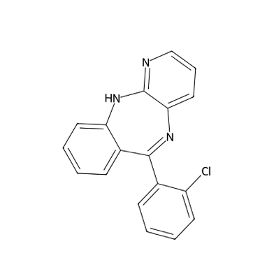 Clc1ccccc1C1=Nc2cccnc2Nc2ccccc21